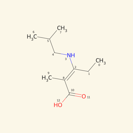 CCC(NCC(C)C)=C(C)C(=O)O